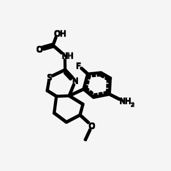 COC1CCC2CSC(NC(=O)O)=NC2(c2cc(N)ccc2F)C1